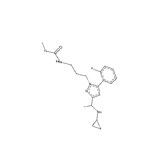 COC(=O)NCCCn1nc(C(C)NC2CC2)cc1-c1ccccc1F